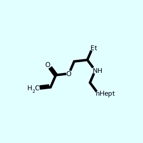 C=CC(=O)OCC(CC)NCCCCCCCC